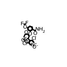 NC(=O)c1ccc(OC(F)F)c2c1OC1(CCS(=O)(=O)C(c3c(Cl)c[n+]([O-])cc3Cl)C1)O2